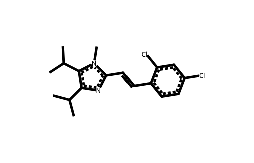 CC(C)c1nc(/C=C/c2ccc(Cl)cc2Cl)n(C)c1C(C)C